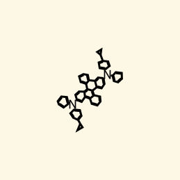 c1ccc(N(c2ccc(C3CC3)cc2)c2ccc3c(c2)c2ccccc2c2c4ccc(N(c5ccccc5)c5ccc(C6CC6)cc5)cc4c4ccccc4c32)cc1